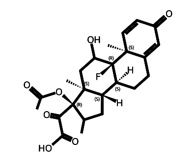 CC(=O)O[C@]1(C(=O)C(=O)O)C(C)C[C@H]2[C@@H]3CCC4=CC(=O)C=C[C@]4(C)[C@@]3(F)C(O)C[C@@]21C